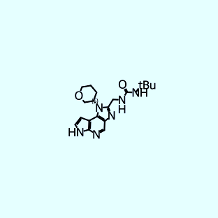 CC(C)(C)NC(=O)NCc1nc2cnc3[nH]ccc3c2n1[C@H]1CCCOC1